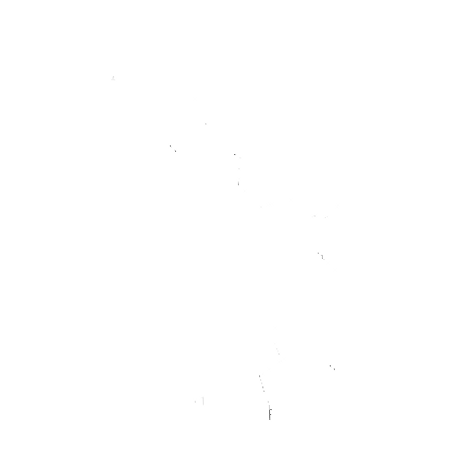 CC(=O)c1ccc(N2CCC(C(=O)N3C[C@H](CNC(=O)O)[C@H](c4ccc(Cl)c(F)c4)C3)CC2)nc1